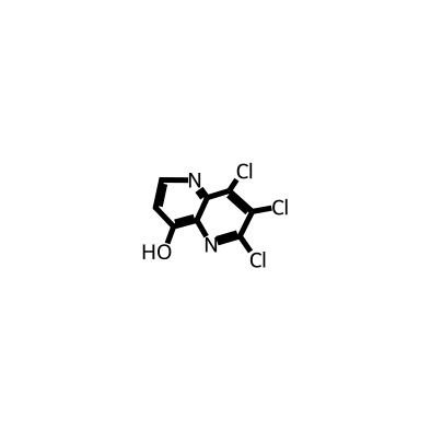 Oc1ccnc2c(Cl)c(Cl)c(Cl)nc12